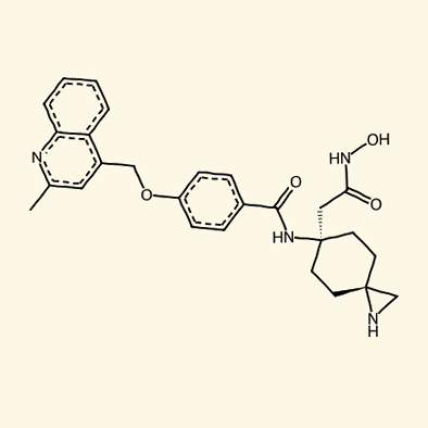 Cc1cc(COc2ccc(C(=O)N[C@]3(CC(=O)NO)CC[C@@]4(CC3)CN4)cc2)c2ccccc2n1